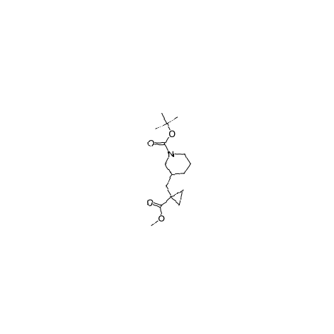 COC(=O)C1(CC2CCCN(C(=O)OC(C)(C)C)C2)CC1